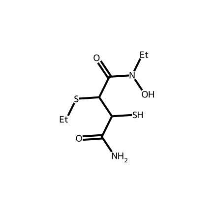 CCSC(C(=O)N(O)CC)C(S)C(N)=O